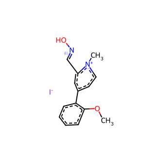 COc1ccccc1-c1cc[n+](C)c(/C=N/O)c1.[I-]